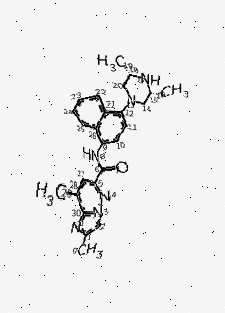 Cc1cn2nc(C(=O)Nc3ccc(N4C[C@@H](C)N[C@@H](C)C4)c4ccccc34)cc(C)c2n1